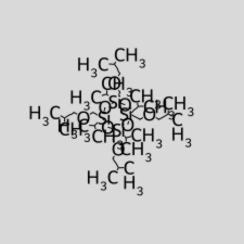 CC(C)COC[Si]1(C(C)C)O[Si](COCC(C)C)(C(C)C)O[Si](COCC(C)C)(C(C)C)O[Si](COCC(C)C)(C(C)C)O1